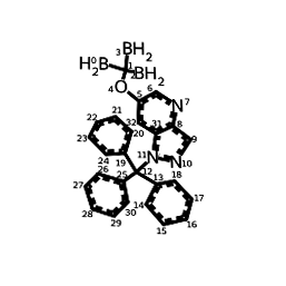 BC(B)(B)Oc1cnc2cnn(C(c3ccccc3)(c3ccccc3)c3ccccc3)c2c1